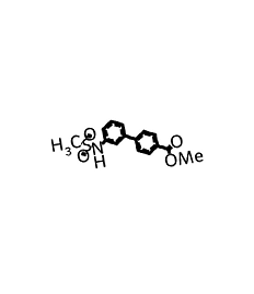 COC(=O)c1ccc(-c2cccc(NS(C)(=O)=O)c2)cc1